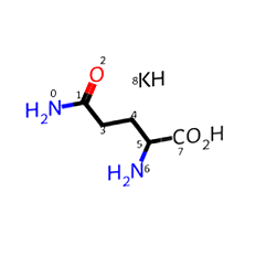 NC(=O)CCC(N)C(=O)O.[KH]